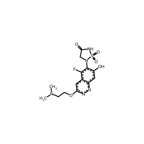 CN(C)CCOc1cc2c(F)c(N3CC(=O)NS3(=O)=O)c(O)cc2nn1